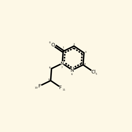 O=c1ccc(Cl)nn1CC(F)F